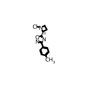 Cc1ccc(-c2noc([C@@H]3CCN3Cl)n2)cc1